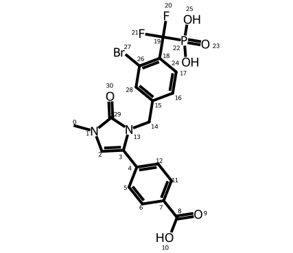 Cn1cc(-c2ccc(C(=O)O)cc2)n(Cc2ccc(C(F)(F)P(=O)(O)O)c(Br)c2)c1=O